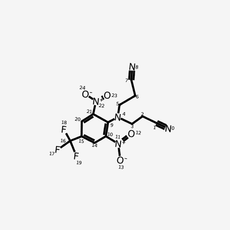 N#CCCN(CCC#N)c1c([N+](=O)[O-])cc(C(F)(F)F)cc1[N+](=O)[O-]